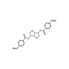 COc1ccc(C(=O)OC2COC3C(OC(=O)c4ccc(OC)cc4)COC23)cc1